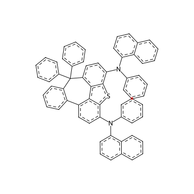 c1ccc(N(c2cccc3ccccc23)c2ccc3c4c2sc2c(N(c5ccccc5)c5cccc6ccccc56)ccc(c24)C(c2ccccc2)(c2ccccc2)c2ccccc2-3)cc1